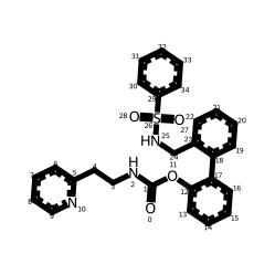 O=C(NCCc1ccccn1)Oc1ccccc1-c1ccccc1CNS(=O)(=O)c1ccccc1